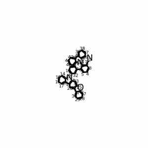 N#Cc1cccc(-c2cccc(-n3c4ccccc4c4cc5c(cc43)oc3ccccc35)c2)c1-n1c2ccccc2c2ccccc21